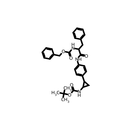 CC(C)(C)OC(=O)NC1CC1c1ccc(NC(=O)C(Cc2ccccc2)NC(=O)OCc2ccccc2)cc1